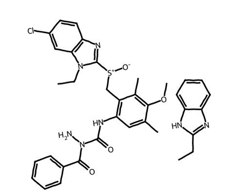 CCc1nc2ccccc2[nH]1.CCn1c([S+]([O-])Cc2c(NC(=O)N(N)C(=O)c3ccccc3)cc(C)c(OC)c2C)nc2ccc(Cl)cc21